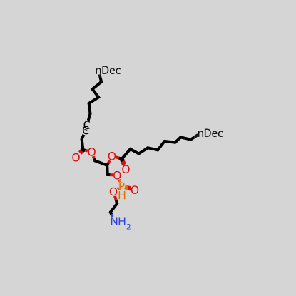 CCCCCCCCCCCCCCCCCCC(=O)OCC(CO[PH](=O)OCCN)OC(=O)CCCCCCCCCCCCCCCCCC